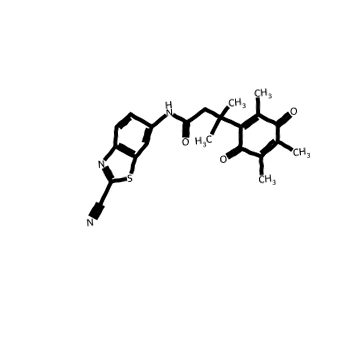 CC1=C(C)C(=O)C(C(C)(C)CC(=O)Nc2ccc3nc(C#N)sc3c2)=C(C)C1=O